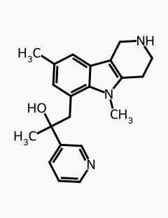 Cc1cc(CC(C)(O)c2cccnc2)c2c(c1)c1c(n2C)CCNC1